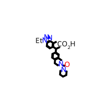 CCn1nnc2c(C)c(C(CC(=O)O)c3ccc4c(c3)CN(C(=O)N3CCCCC3)CC4)ccc21